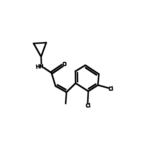 C/C(=C/C(=O)NC1CC1)c1cccc(Cl)c1Cl